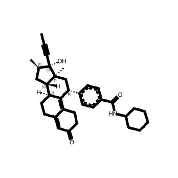 CC#C[C@]1(O)[C@H](C)C[C@H]2[C@@H]3CCC4=CC(=O)CCC4=C3[C@@H](c3ccc(C(=O)NC4CCCCC4)cc3)C[C@@]21C